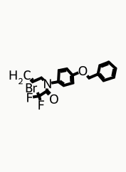 C=CCN(C(=O)C(F)(F)Br)c1ccc(OCc2ccccc2)cc1